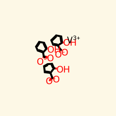 O=C([O-])c1ccccc1O.O=C([O-])c1ccccc1O.O=C([O-])c1ccccc1O.[V+3]